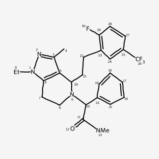 CCn1nc(C)c2c1CCN(C(C(=O)NC)c1ccccc1)C2CCc1cc(C(F)(F)F)ccc1F